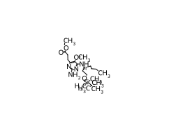 CCCC[C@@H](CCO[Si](C)(C)C(C)(C)C)Nc1nc(N)nc(CCC(=O)OCC)c1OC